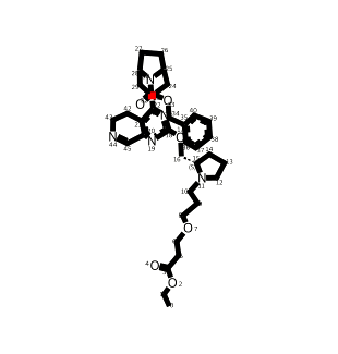 CCOC(=O)CCOCCCN1CCC[C@H]1COc1nc2c(c(N3CC4CCC(C3)N4C(=O)OCc3ccccc3)n1)CCN=C2